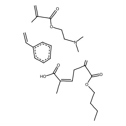 C=C(C)C(=O)OCCN(C)C.C=C(CC=C(C)C(=O)O)C(=O)OCCCC.C=Cc1ccccc1